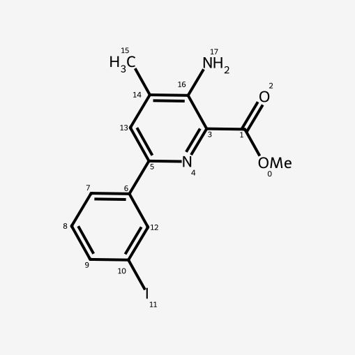 COC(=O)c1nc(-c2cccc(I)c2)cc(C)c1N